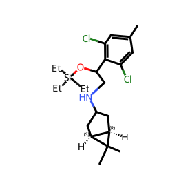 CC[Si](CC)(CC)OC(CNC1C[C@@H]2[C@H](C1)C2(C)C)c1c(Cl)cc(C)cc1Cl